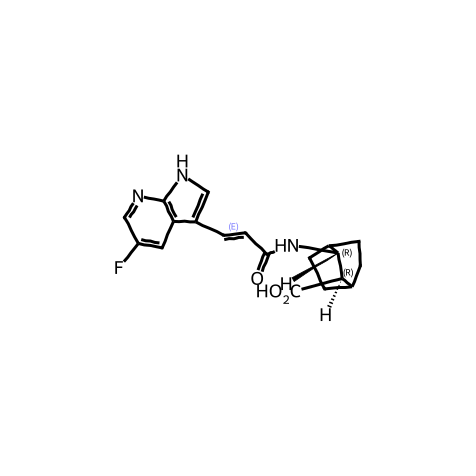 O=C(/C=C/c1c[nH]c2ncc(F)cc12)N[C@@H]1C2CCC(CC2)[C@H]1C(=O)O